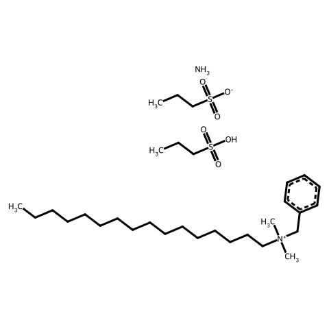 CCCCCCCCCCCCCCCC[N+](C)(C)Cc1ccccc1.CCCS(=O)(=O)O.CCCS(=O)(=O)[O-].N